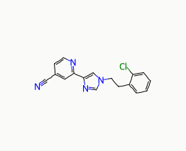 N#Cc1ccnc(-c2cn(CCc3ccccc3Cl)cn2)c1